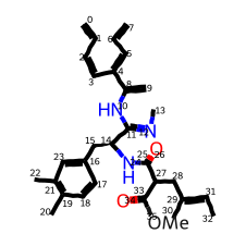 C=C/C=C\C(=C/C=C)C(=C)N/C(=N\C)[C@H](Cc1ccc(C)c(C)c1)NC(=O)C(C/C(C)=C/C)C(=O)OC